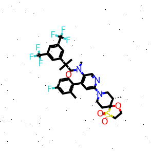 Cc1cc(F)ccc1-c1cc(N2CCC3(OCCS3(=O)=O)[C@@H](C)C2)ncc1N(C)C(=O)C(C)(C)c1cc(C(F)(F)F)cc(C(F)(F)F)c1